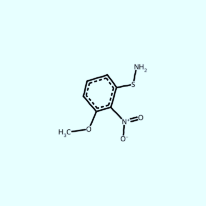 COc1cccc(SN)c1[N+](=O)[O-]